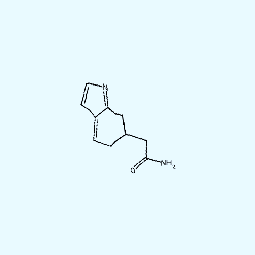 NC(=O)CC1CC=C2C=CN=C2C1